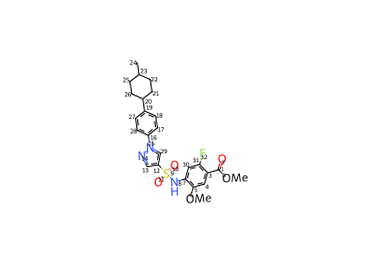 COC(=O)c1cc(OC)c(NS(=O)(=O)c2cnn(-c3ccc(C4CCC(C)CC4)cc3)c2)cc1F